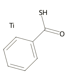 O=C(S)c1ccccc1.[Ti]